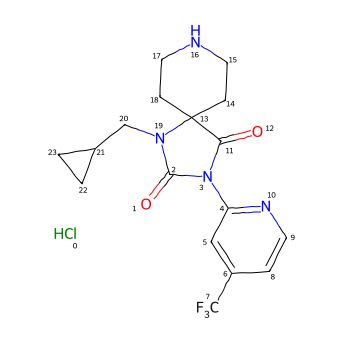 Cl.O=C1N(c2cc(C(F)(F)F)ccn2)C(=O)C2(CCNCC2)N1CC1CC1